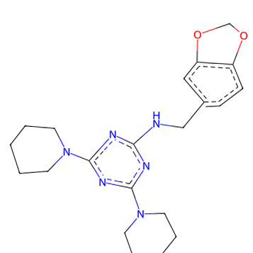 c1cc2c(cc1CNc1nc(N3CCCCC3)nc(N3CCCCC3)n1)OCO2